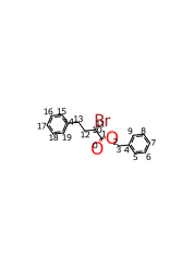 O=C(OCc1ccccc1)C(Br)CCc1ccccc1